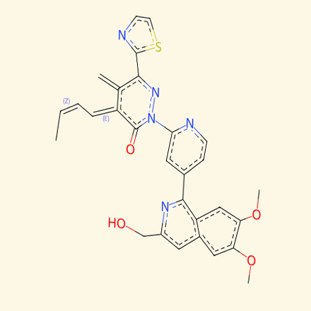 C=c1c(-c2nccs2)nn(-c2cc(-c3nc(CO)cc4cc(OC)c(OC)cc34)ccn2)c(=O)/c1=C/C=C\C